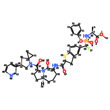 COC(=O)[C@H](C)NP(=O)(Oc1ccccc1)[C@@H](F)c1ccc2c(c1)CC(C(=O)N[C@H]1CCC[C@H]3CC[C@@H](C(=O)N4C[C@@H](c5cccnc5)CC45CC5)N3C1=O)S2